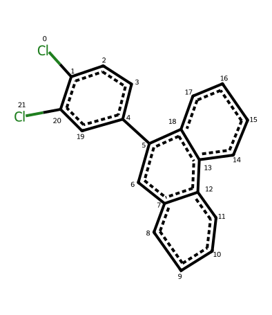 Clc1ccc(-c2cc3ccccc3c3ccccc23)cc1Cl